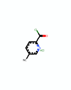 Cl.N#Cc1ccc(C(=O)Cl)nc1